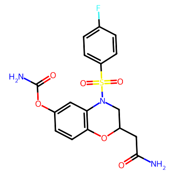 NC(=O)CC1CN(S(=O)(=O)c2ccc(F)cc2)c2cc(OC(N)=O)ccc2O1